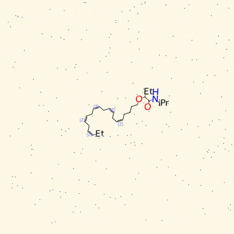 CC/C=C\C/C=C\C/C=C\C/C=C\C/C=C\CCCCOC(CC)C(=O)NC(C)C